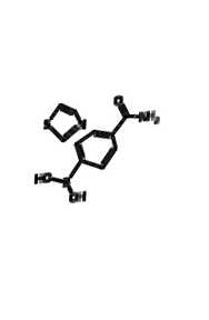 NC(=O)c1ccc(B(O)O)cc1.c1cscn1